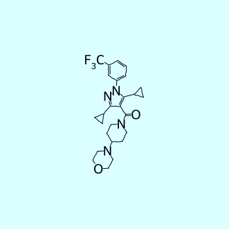 O=C(c1c(C2CC2)nn(-c2cccc(C(F)(F)F)c2)c1C1CC1)N1CCC(N2CCOCC2)CC1